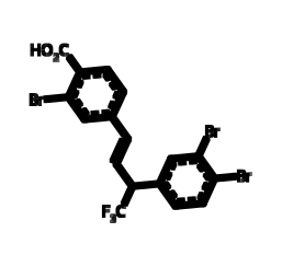 O=C(O)c1ccc(/C=C/C(c2ccc(Br)c(Br)c2)C(F)(F)F)cc1Br